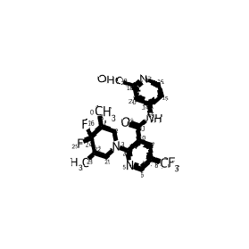 CC1CN(c2ncc(C(F)(F)F)cc2C(=O)Nc2ccnc(C=O)c2)CC(C)C1(F)F